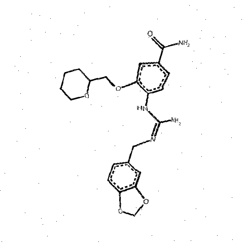 NC(=O)c1ccc(NC(N)=NCc2ccc3c(c2)OCO3)c(OCC2CCCCO2)c1